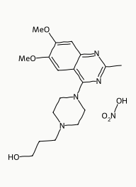 COc1cc2nc(C)nc(N3CCN(CCCO)CC3)c2cc1OC.O=[N+]([O-])O